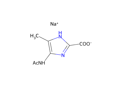 CC(=O)Nc1nc(C(=O)[O-])[nH]c1C.[Na+]